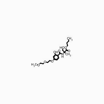 CCCCOC(=O)C(C)(CO)NC(=O)c1ccc(OCCOCCOC)cc1O